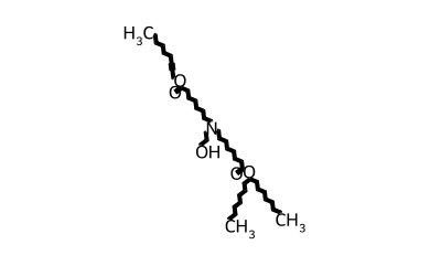 CCCCCCC#CCOC(=O)CCCCCCCN(CCCO)CCCCCCCC(=O)OC(CCCCCCCC)CCCCCCCC